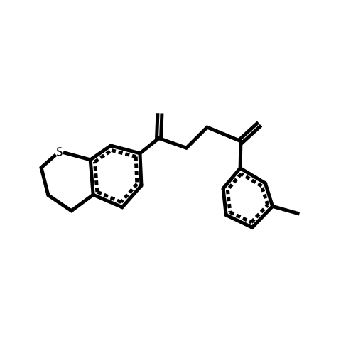 C=C(CCC(=C)c1ccc2c(c1)SCCC2)c1cccc(C)c1